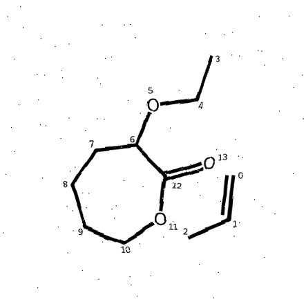 C=CC.CCOC1CCCCOC1=O